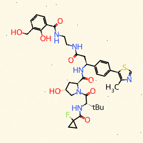 Cc1ncsc1-c1ccc([C@H](CC(=O)NCCNC(=O)c2cccc(CO)c2O)NC(=O)[C@@H]2C[C@@H](O)CN2C(=O)[C@@H](NC(=O)C2(F)CC2)C(C)(C)C)cc1